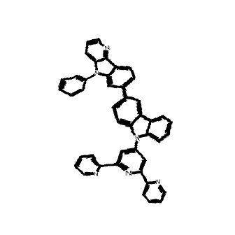 c1ccc(-n2c3cc(-c4ccc5c(c4)c4ccccc4n5-c4cc(-c5ccccn5)nc(-c5ccccn5)c4)ccc3c3ncccc32)cc1